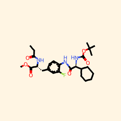 CCC(=O)N[C@H](Cc1ccc(NC(=O)[C@@H](NC(=O)OC(C)(C)C)C2CCCCC2)c(F)c1)C(=O)OC